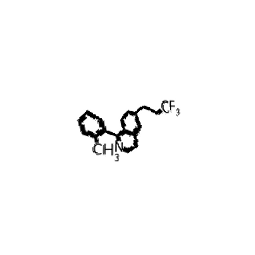 Cc1ccccc1-c1nccc2cc(CCC(F)(F)F)ccc12